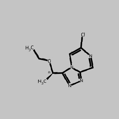 CCO[C@H](C)c1nnc2cnc(Cl)cn12